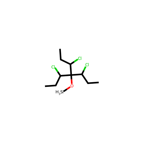 CCC(Cl)C(O[SiH3])(C(Cl)CC)C(Cl)CC